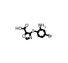 Nc1cc(Br)ccc1Sc1ncoc1C(=O)O